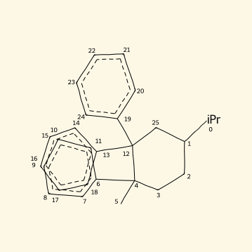 CC(C)C1CCC(C)(c2ccccc2)C(c2ccccc2)(c2ccccc2)C1